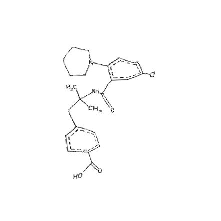 CC(C)(Cc1ccc(C(=O)O)cc1)NC(=O)c1cc(Cl)ccc1N1CCCCC1